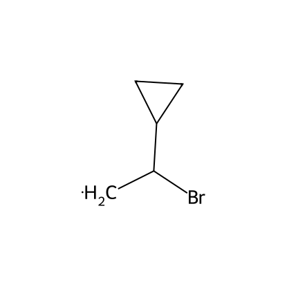 [CH2]C(Br)C1CC1